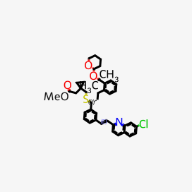 COC(=O)CC1(CS[C@H](CCc2ccccc2C(C)(C)OC2CCCCO2)c2cccc(/C=C/c3ccc4ccc(Cl)cc4n3)c2)CC1